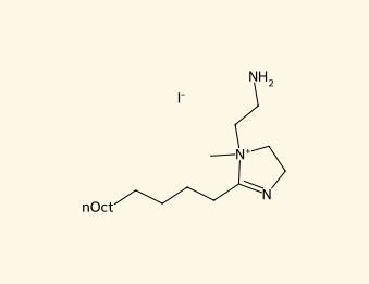 CCCCCCCCCCCCC1=NCC[N+]1(C)CCN.[I-]